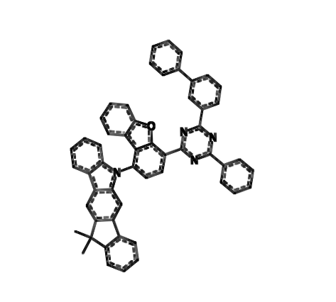 CC1(C)c2ccccc2-c2cc3c(cc21)c1ccccc1n3-c1ccc(-c2nc(-c3ccccc3)nc(-c3cccc(-c4ccccc4)c3)n2)c2oc3ccccc3c12